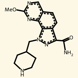 COc1ncc2ccc3c(C(N)=O)nn(CC4CCNCC4)c3c2n1